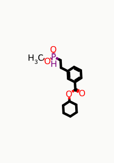 CO[PH](=O)CCc1cccc(C(=O)OC2CCCCC2)c1